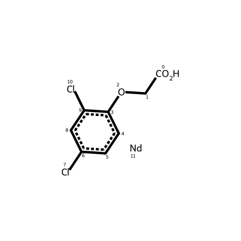 O=C(O)COc1ccc(Cl)cc1Cl.[Nd]